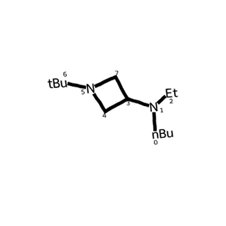 CCCCN(CC)C1CN(C(C)(C)C)C1